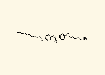 C=CCCCCCCCCOc1ccc(OC(=O)c2ccc(OCCCCCC(C)CC)cc2)cc1